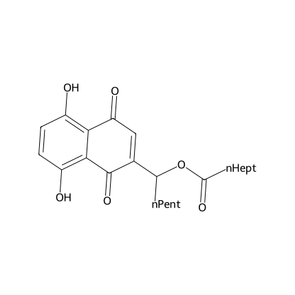 CCCCCCCC(=O)OC(CCCCC)C1=CC(=O)c2c(O)ccc(O)c2C1=O